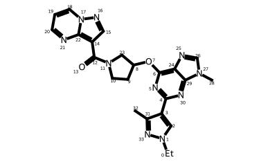 CCn1cc(-c2nc(OC3CCN(C(=O)c4cnn5cccnc45)C3)c3ncn(C)c3n2)c(C)n1